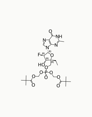 CC[C@]1(COP(=O)(OCOC(=O)C(C)(C)C)OCOC(=O)C(C)(C)C)O[C@@H](n2cnc3c(=O)[nH]c(C)nc32)[C@H](F)[C@@H]1O